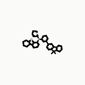 CC1(C)c2ccccc2-c2cc(-c3cccc(N(c4ccccc4)c4cccc5c4oc4ccccc45)c3)ccc21